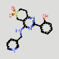 O=S1(=O)CCc2nc(-c3ccccc3O)nc(NCc3cccnc3)c2C1